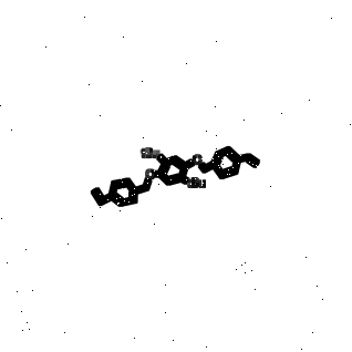 C=Cc1ccc(COc2cc(C(C)(C)C)c(OCc3ccc(C=C)cc3)cc2C(C)(C)C)cc1